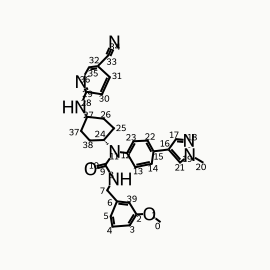 COc1cccc(CNC(=O)N(c2ccc(-c3cnn(C)c3)cc2)[C@H]2CC[C@H](Nc3ccc(C#N)cn3)CC2)c1